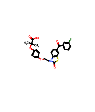 CC(C)(Oc1ccc(OCCn2c(=O)sc3cc(C(=O)c4cccc(Cl)c4)ccc32)cc1)C(=O)O